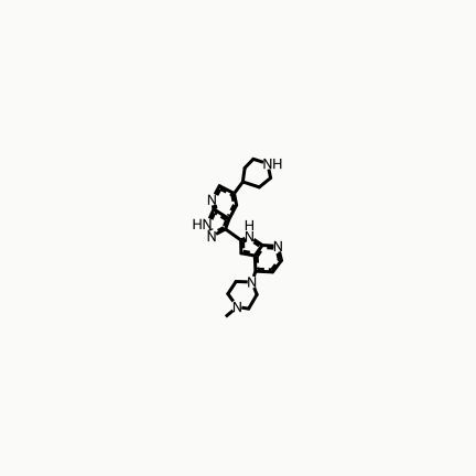 CN1CCN(c2ccnc3[nH]c(-c4n[nH]c5ncc(C6CCNCC6)cc45)cc23)CC1